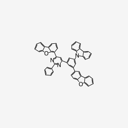 c1ccc(-c2nc(-c3cc(-c4ccc5oc6ccccc6c5c4)cc(-n4c5ccccc5c5ccccc54)c3)cc(-c3cccc4c3oc3ccccc34)n2)cc1